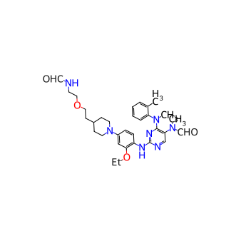 CCOc1cc(N2CCC(CCOCCNC=O)CC2)ccc1Nc1ncc(N(C)C=O)c(N(C)c2ccccc2C)n1